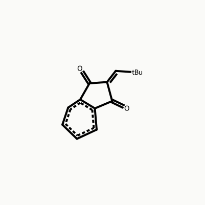 CC(C)(C)C=C1C(=O)c2ccccc2C1=O